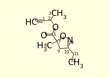 C#CC(C)OC(=O)C1(C)CC(CC)=NO1